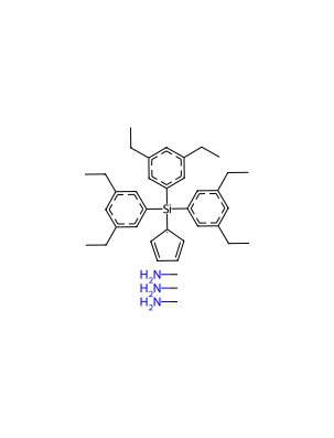 CCc1cc(CC)cc([Si]([C]2C=CC=C2)(c2cc(CC)cc(CC)c2)c2cc(CC)cc(CC)c2)c1.CN.CN.CN